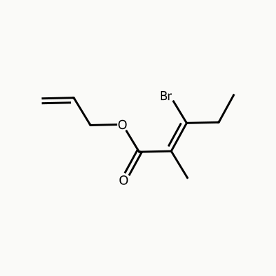 C=CCOC(=O)C(C)=C(Br)CC